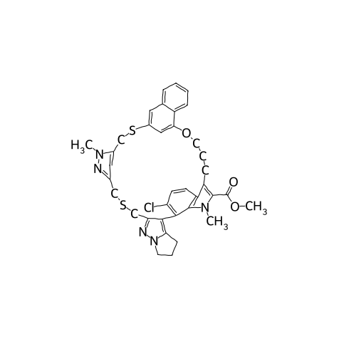 COC(=O)c1c2c3ccc(Cl)c(c3n1C)-c1c(nn3c1CCC3)CSCc1cc(n(C)n1)CSc1cc(c3ccccc3c1)OCCC2